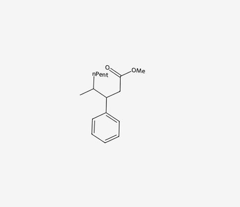 CCCCCC(C)C(CC(=O)OC)c1ccccc1